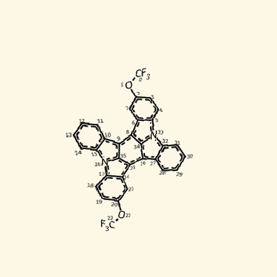 FC(F)(F)Oc1ccc2c(c1)c1c3c4ccccc4n4c5ccc(OC(F)(F)F)cc5c(c5c6ccccc6n2c51)c34